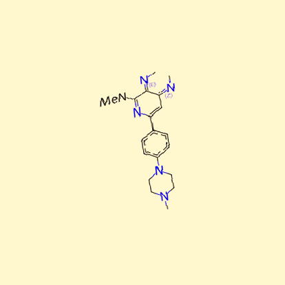 C/N=C1/C=C(c2ccc(N3CCN(C)CC3)cc2)N=C(NC)/C1=N/C